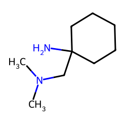 CN(C)CC1(N)CCCCC1